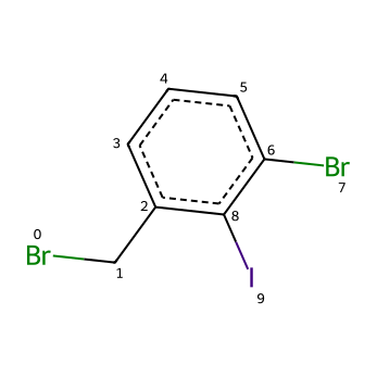 BrCc1cccc(Br)c1I